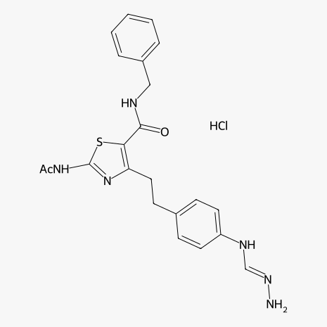 CC(=O)Nc1nc(CCc2ccc(NC=NN)cc2)c(C(=O)NCc2ccccc2)s1.Cl